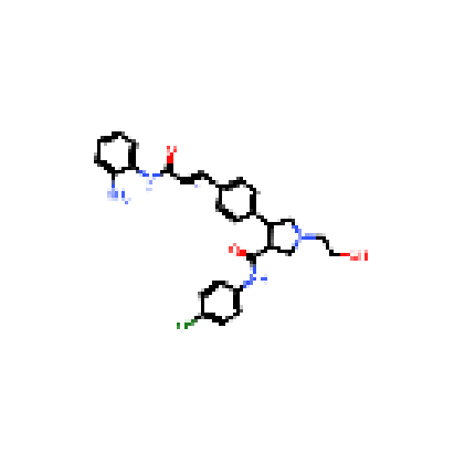 Nc1ccccc1NC(=O)/C=C/c1ccc(C2CN(CCO)CC2C(=O)Nc2ccc(Cl)cc2)cc1